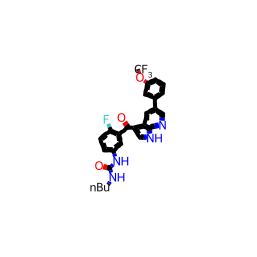 CCCCNC(=O)Nc1ccc(F)c(C(=O)c2c[nH]c3ncc(-c4cccc(OC(F)(F)F)c4)cc23)c1